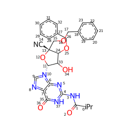 CC(C)C(=O)Nc1nc2c(ncn2[C@@H]2O[C@](C#N)(COCc3ccccc3)C(OCc3ccccc3)C2O)c(=O)[nH]1